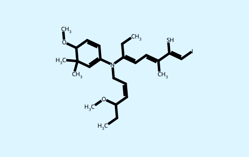 CC\C(=C/C=C(C)/C(S)=C/I)N(C/C=C\C(CC)OC)C1=CC(C)(C)C(OC)C=C1